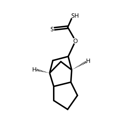 S=C(S)OC1C[C@H]2C[C@@H]1C1CCCC12